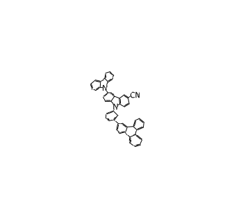 N#Cc1ccc2c(c1)c1cc(-n3c4ccccc4c4ccccc43)ccc1n2-c1cccc(-c2ccc3c4ccccc4c4ccccc4c3c2)c1